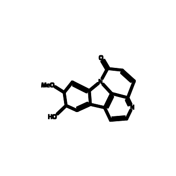 COC1C=c2c(c3ccnc4ccc(=O)n2c43)=CC1O